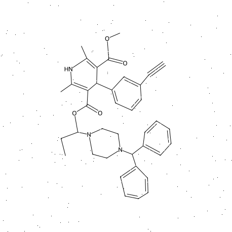 C#Cc1cccc(C2C(C(=O)OC)=C(C)NC(C)=C2C(=O)OC(CC)N2CCN(C(c3ccccc3)c3ccccc3)CC2)c1